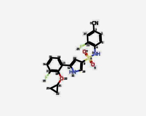 N#Cc1ccc(NS(=O)(=O)c2c[nH]c(-c3cccc(F)c3OC3CC3)c2)c(F)c1